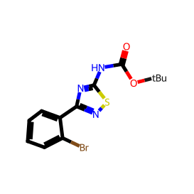 CC(C)(C)OC(=O)Nc1nc(-c2ccccc2Br)ns1